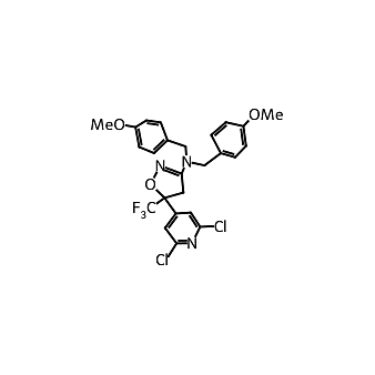 COc1ccc(CN(Cc2ccc(OC)cc2)C2=NOC(c3cc(Cl)nc(Cl)c3)(C(F)(F)F)C2)cc1